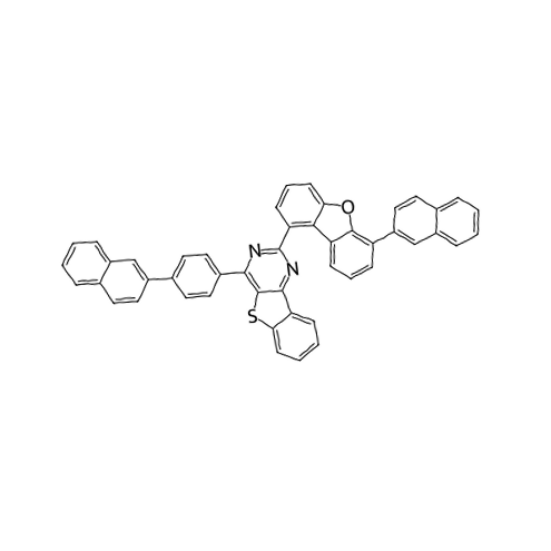 c1ccc2cc(-c3ccc(-c4nc(-c5cccc6oc7c(-c8ccc9ccccc9c8)cccc7c56)nc5c4sc4ccccc45)cc3)ccc2c1